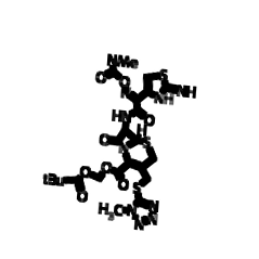 CNC(=O)ON=C(C(=O)NC1C(=O)N2C(C(=O)OCOC(=O)C(C)(C)C)=C(CSc3nnnn3C)CS[C@@H]12)c1csc(=N)[nH]1